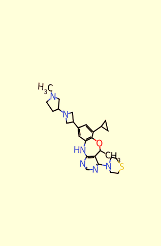 CC1Oc2c(cc(C3CN(C4CCN(C)C4)C3)cc2C2CC2)Nc2ncnc(N3CCSCC3)c21